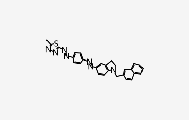 Cc1nnc(N=Nc2ccc(N=Nc3ccc4c(c3)CCN4Cc3ccc4ccccc4c3)cc2)s1